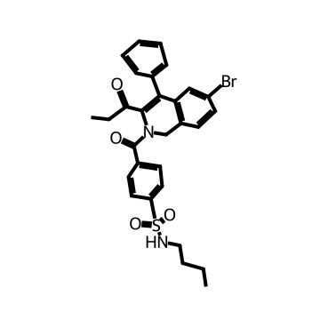 CCCCNS(=O)(=O)c1ccc(C(=O)N2Cc3ccc(Br)cc3C(c3ccccc3)=C2C(=O)CC)cc1